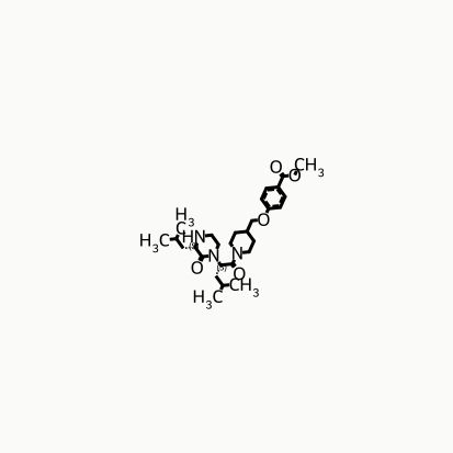 COC(=O)c1ccc(OCC2CCN(C(=O)[C@H](CC(C)C)N3CCN[C@@H](CC(C)C)C3=O)CC2)cc1